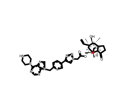 C=C[C@]1(C)C[C@@H](OC(=O)Cn2cc(-c3ccc(Cn4cnc5c(N6CCNCC6)ncnc54)nc3)nn2)[C@]2(C)[C@H](C)CC[C@]3(CCC(=O)[C@H]32)[C@@H](C)[C@@H]1O